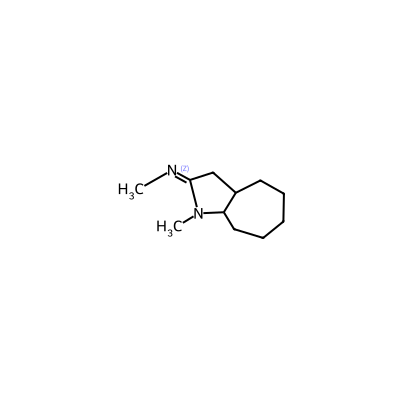 C/N=C1/CC2CCCCCC2N1C